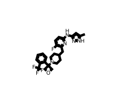 Cc1cc(Nc2ccc(F)c(CC3CCN(C4(c5ccccc5C(F)(F)F)COC4)CC3)n2)n[nH]1